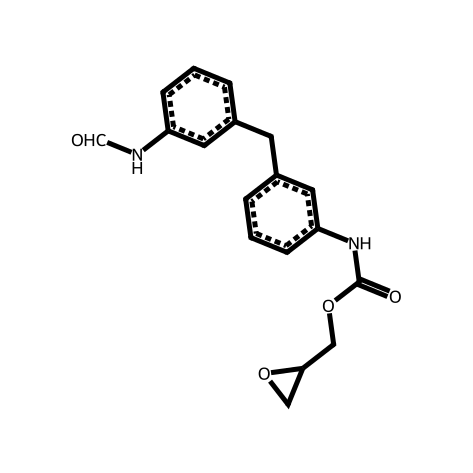 O=CNc1cccc(Cc2cccc(NC(=O)OCC3CO3)c2)c1